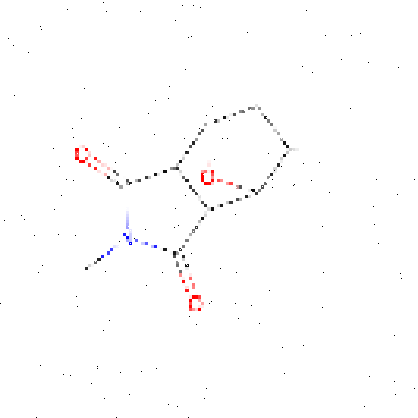 CC1CC2OC1C1C(=O)N(C)C(=O)C21